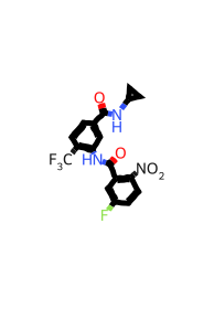 O=C(NC1CC1)c1ccc(C(F)(F)F)c(NC(=O)c2cc(F)ccc2[N+](=O)[O-])c1